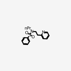 CCCN(CCc1ccccn1)S(=O)(=O)c1[c]cccc1